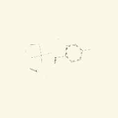 COC(=O)CC1(NC(=O)c2ccc(F)cc2N)CCCC1